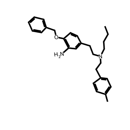 CCCCN(CCc1ccc(C)cc1)CCc1ccc(OCc2ccccc2)c(N)c1